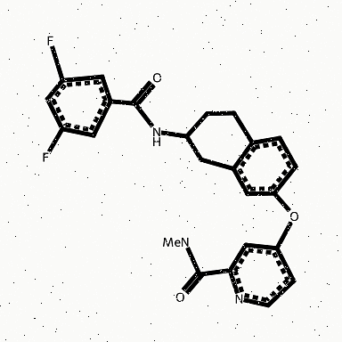 CNC(=O)c1cc(Oc2ccc3c(c2)CC(NC(=O)c2cc(F)cc(F)c2)CC3)ccn1